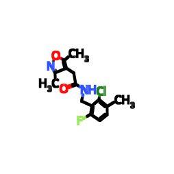 Cc1ccc(F)c(CNC(=O)Cc2c(C)noc2C)c1Cl